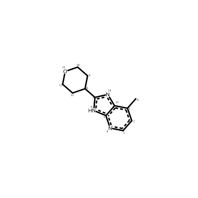 Cc1ccnc2[nH]c(C3CCOCC3)nc12